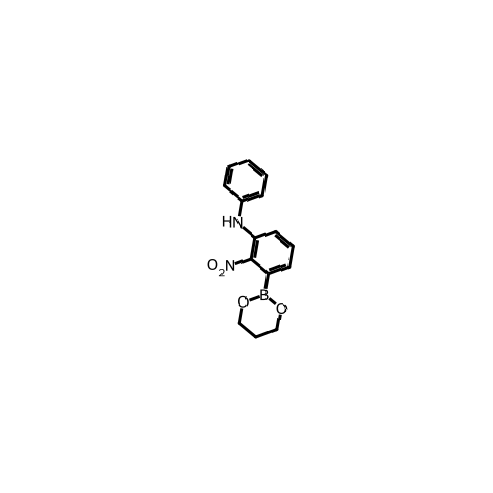 O=[N+]([O-])c1c(Nc2ccccc2)cccc1B1OCCCO1